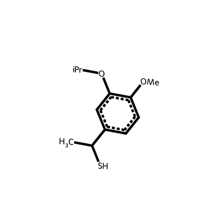 COc1ccc(C(C)S)cc1OC(C)C